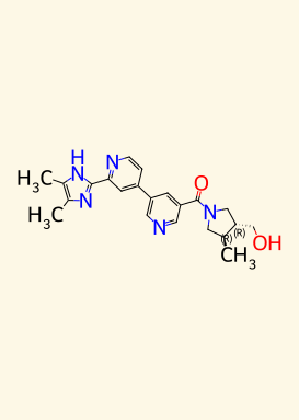 Cc1nc(-c2cc(-c3cncc(C(=O)N4C[C@H](CO)[C@@H](C)C4)c3)ccn2)[nH]c1C